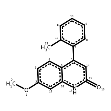 COc1ccc2c(-c3ccccc3C)cc(=O)[nH]c2c1